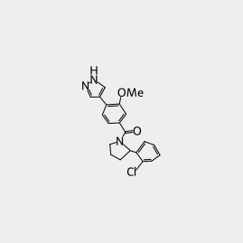 COc1cc(C(=O)N2CCCC2c2ccccc2Cl)ccc1-c1cn[nH]c1